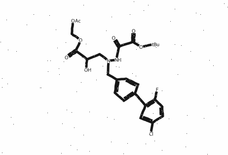 CC(=O)OCOC(=O)C(O)CN(Cc1ccc(-c2cc(Cl)ccc2F)cc1)NC(=O)C(=O)OC(C)(C)C